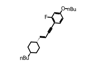 CCCCOc1ccc(C#CC=C[C@H]2CC[C@H](CCCC)CC2)c(F)c1